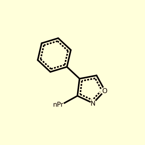 CCCc1nocc1-c1ccccc1